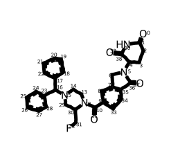 O=C1CCC(N2Cc3cc(C(=O)N4CCN(C(c5ccccc5)c5ccccc5)CC4CF)ccc3C2=O)C(=O)N1